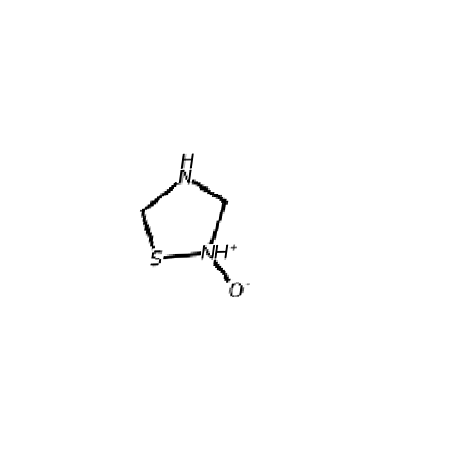 [O-][NH+]1CNCS1